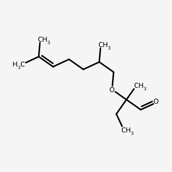 CCC(C)(C=O)OCC(C)CCC=C(C)C